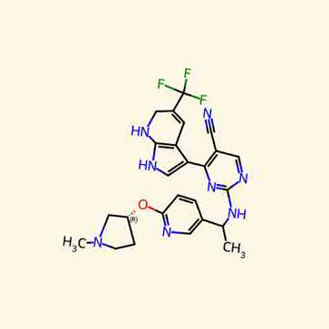 CC(Nc1ncc(C#N)c(-c2c[nH]c3c2C=C(C(F)(F)F)CN3)n1)c1ccc(O[C@@H]2CCN(C)C2)nc1